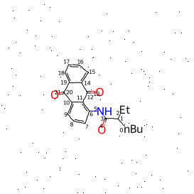 CCCCC(CC)C(=O)Nc1cccc2c1C(=O)c1ccccc1C2=O